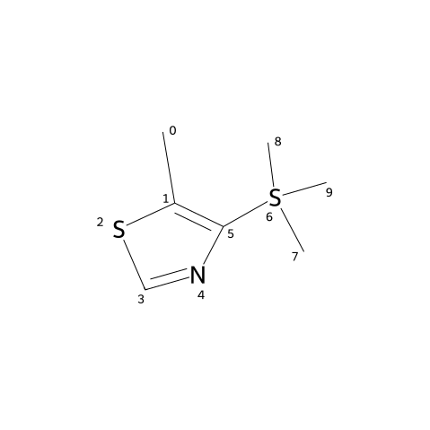 Cc1scnc1S(C)(C)C